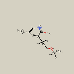 CC(C)(CO[Si](C)(C)C(C)(C)C)c1cc(C(=O)O)c[nH]c1=O